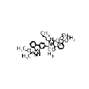 CCCCc1nc(Cl)c(C(=O)c2cccc(C(OC)OC)n2)n1C(C)c1ccc(-c2ccccc2-c2nnnn2C(C)OCC)cc1